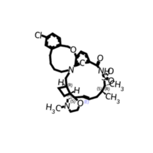 C[C@@H]1[C@@H](C)C/C=C/[C@]2(CN(C)CCO2)[C@@H]2CC[C@H]2CN2CCCCc3cc(Cl)ccc3COc3ccc(cc32)C(=O)NS1(=O)=O